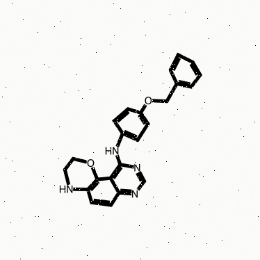 c1ccc(COc2ccc(Nc3ncnc4ccc5c(c34)OCCN5)cc2)cc1